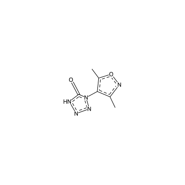 Cc1noc(C)c1-n1nn[nH]c1=O